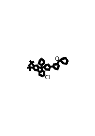 CC1(C)CC(C)(C)c2cc3c(cc21)-c1ccc(Cl)cc1C3(c1ccccc1)c1ccc(-c2cccc(C(=O)c3ccccc3)c2)cc1